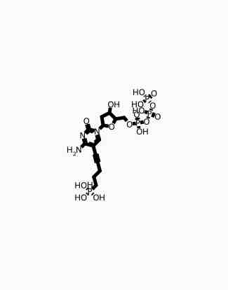 Nc1nc(=O)n(C2CC(O)C(COP(=O)(O)OP(=O)(O)OP(=O)(O)O)O2)cc1C#CCCC[PH](O)(O)O